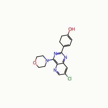 OC1=CC=C(c2nc(N3CCOCC3)c3ncc(Cl)cc3n2)CC1